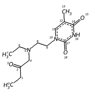 CCC(=O)CN(CC)CCn1cc(C)c(=O)[nH]c1=O